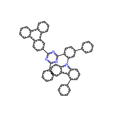 c1ccc(-c2ccc(-c3nc(-c4ccccc4)nc(-c4ccc5c6ccccc6c6ccccc6c5c4)n3)c(-n3c4ccccc4c4c(-c5ccccc5)cccc43)c2)cc1